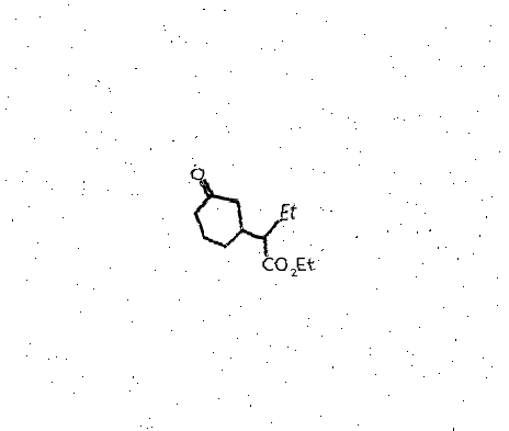 CCOC(=O)C(CC)C1CCCC(=O)C1